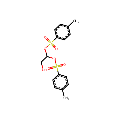 Cc1ccc(S(=O)(=O)OC(CO)OS(=O)(=O)c2ccc(C)cc2)cc1